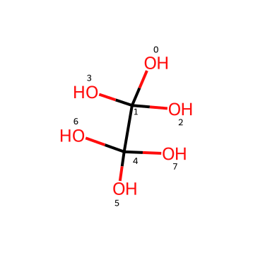 OC(O)(O)C(O)(O)O